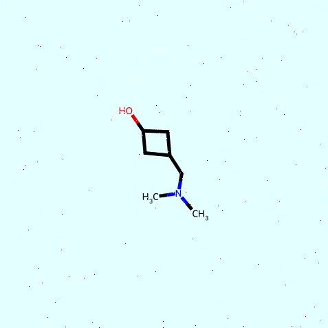 CN(C)CC1CC(O)C1